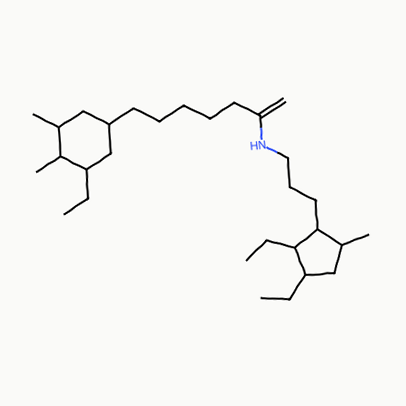 C=C(CCCCCC1CC(C)C(C)C(CC)C1)NCCCC1C(C)CC(CC)C1CC